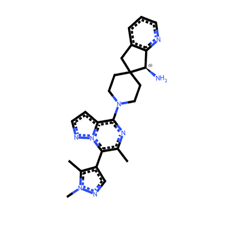 Cc1nc(N2CCC3(CC2)Cc2cccnc2[C@H]3N)c2ccnn2c1-c1cnn(C)c1C